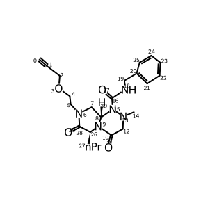 C#CCOCCN1C[C@H]2N(C(=O)CN(C)N2C(=O)NCc2ccccc2)[C@@H](CCC)C1=O